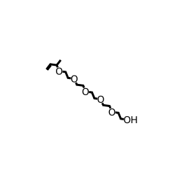 C=CC(C)OCCOCCOCCOCCOCCO